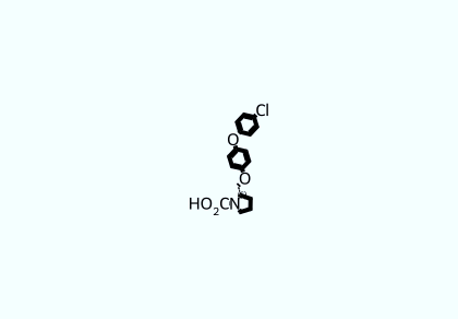 O=C(O)N1CCC[C@H]1COc1ccc(Oc2ccc(Cl)cc2)cc1